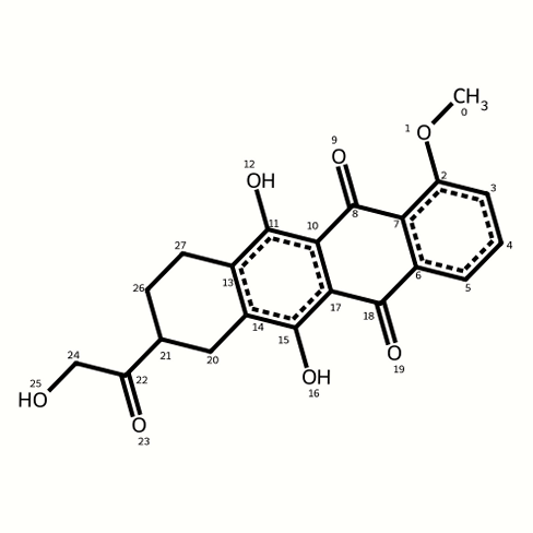 COc1cccc2c1C(=O)c1c(O)c3c(c(O)c1C2=O)CC(C(=O)CO)CC3